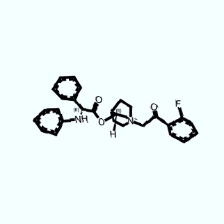 O=C(C[N+]12CCC(CC1)[C@@H](OC(=O)[C@H](Nc1ccccc1)c1ccccc1)C2)c1ccccc1F